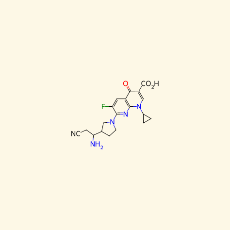 N#CCC(N)C1CCN(c2nc3c(cc2F)c(=O)c(C(=O)O)cn3C2CC2)C1